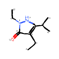 CCc1c(C(C)C)[nH]n(CC)c1=O